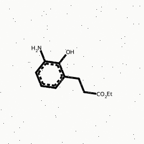 CCOC(=O)CCc1cccc(N)c1O